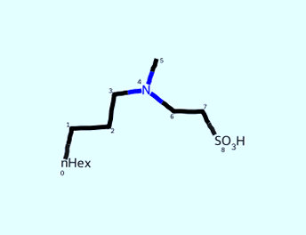 CCCCCCCCCN(C)CCS(=O)(=O)O